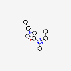 c1ccc(-c2ccc(N(c3ccccc3)c3cccc4oc5cc(-c6nc(-c7ccccc7)nc(-c7cccc(-c8ccccc8)c7)n6)ccc5c34)cc2)cc1